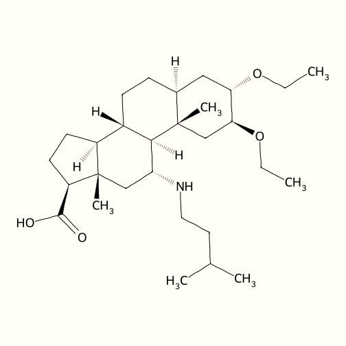 CCO[C@H]1C[C@@H]2CC[C@@H]3[C@H]([C@H](NCCC(C)C)C[C@]4(C)[C@@H](C(=O)O)CC[C@@H]34)[C@@]2(C)C[C@@H]1OCC